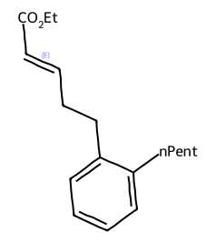 CCCCCc1ccccc1CC/C=C/C(=O)OCC